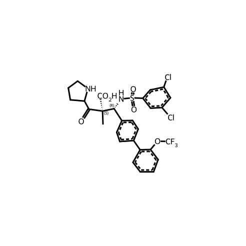 C[C@@](C(=O)O)(C(=O)C1CCCN1)[C@H](NS(=O)(=O)c1cc(Cl)cc(Cl)c1)c1ccc(-c2ccccc2OC(F)(F)F)cc1